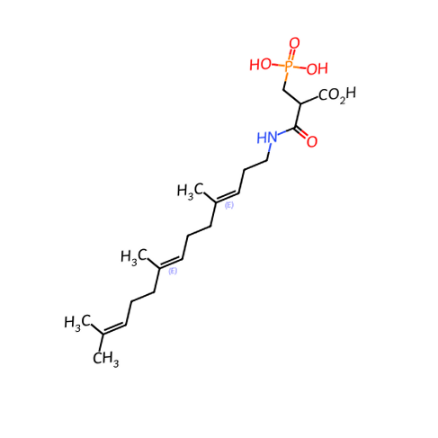 CC(C)=CCC/C(C)=C/CC/C(C)=C/CCNC(=O)C(CP(=O)(O)O)C(=O)O